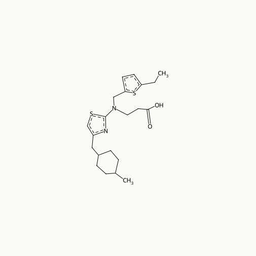 CCc1ccc(CN(CCC(=O)O)c2nc(CC3CCC(C)CC3)cs2)s1